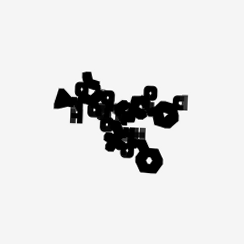 CCC[C@H](OC(=O)[C@@H]1C[C@@]2(CC(=O)N(c3cccc(Cl)c3)C2)CN1C(=O)C(NC(=O)CC1CCCCC1)C(C)(C)C)C(O)C(=O)NC1CC1